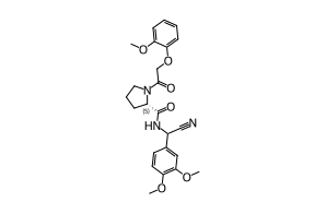 COc1ccc(C(C#N)NC(=O)[C@@H]2CCCN2C(=O)COc2ccccc2OC)cc1OC